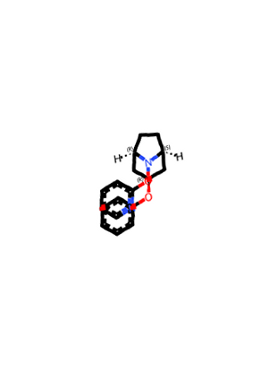 c1ccc(O[C@H]2C[C@H]3CC[C@@H](C2)N3Oc2ccccn2)cc1